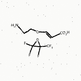 FC(F)(F)C1(F)OC1(F)F.NCCOC=CC(=O)O